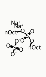 CCCCCCCCOS(=O)(=O)OCCCCCCCC.O=S(=O)([O-])[O-].[Na+].[Na+]